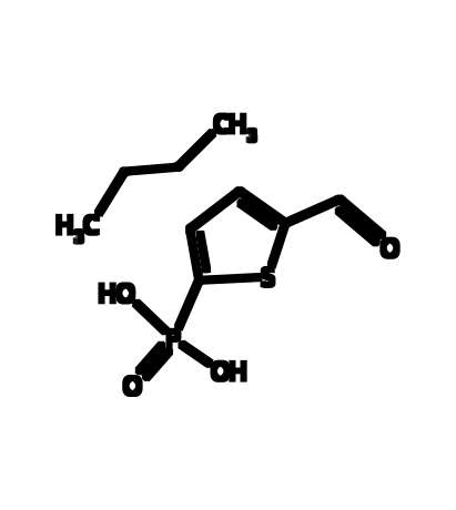 CCCC.O=Cc1ccc(P(=O)(O)O)s1